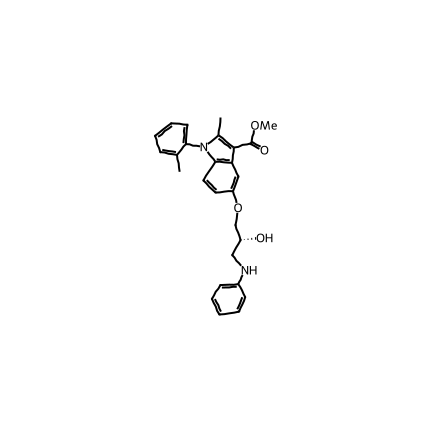 COC(=O)c1c(C)n(-c2ccccc2C)c2ccc(OC[C@H](O)CNc3ccccc3)cc12